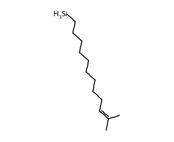 CC(C)=CCCCCCCCCC[SiH3]